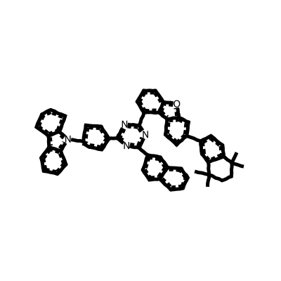 CC1(C)CCC(C)(C)c2cc(-c3ccc4c(c3)oc3cccc(-c5nc(-c6ccc(-n7c8ccccc8c8ccccc87)cc6)nc(-c6ccc7ccccc7c6)n5)c34)ccc21